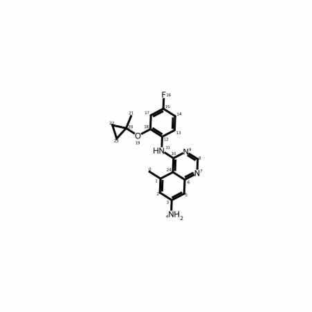 Cc1cc(N)cc2ncnc(Nc3ccc(F)cc3OC3(C)CC3)c12